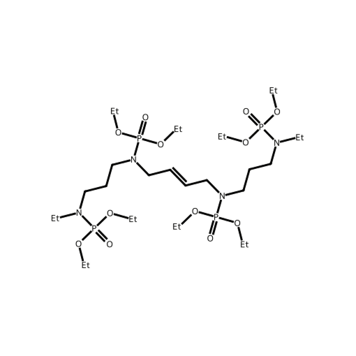 CCOP(=O)(OCC)N(CC)CCCN(C/C=C/CN(CCCN(CC)P(=O)(OCC)OCC)P(=O)(OCC)OCC)P(=O)(OCC)OCC